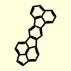 C1=Cc2ccc3c4cc5c(cc4c4ccc1c2c43)c1cccc2cccc5c21